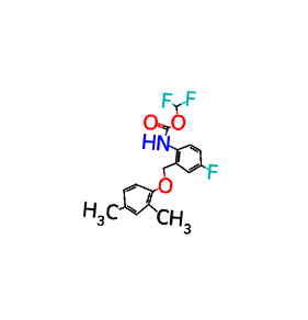 Cc1ccc(OCc2cc(F)ccc2NC(=O)OC(F)F)c(C)c1